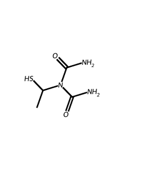 CC(S)N(C(N)=O)C(N)=O